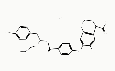 O=C(NC(Cc1ccc(Cl)cc1)OCCF)c1ccc(Oc2cc3c(cc2Cl)C(C(=O)[O-])CCO3)cc1.[Na+]